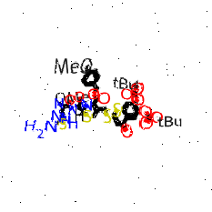 CO/N=C(\C(=O)NC1C(=O)N2C(C(=O)OCc3ccc(OC)cc3)=C(CSc3cc(=O)c4cc(OC(=O)OC(C)(C)C)c(OC(=O)OC(C)(C)C)cc4s3)CS[C@H]12)c1nsc(N)n1